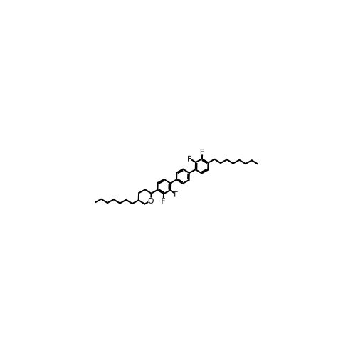 CCCCCCCCc1ccc(-c2ccc(-c3ccc(C4CCC(CCCCCCC)CO4)c(F)c3F)cc2)c(F)c1F